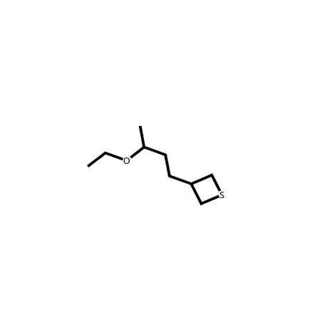 CCOC(C)CCC1CSC1